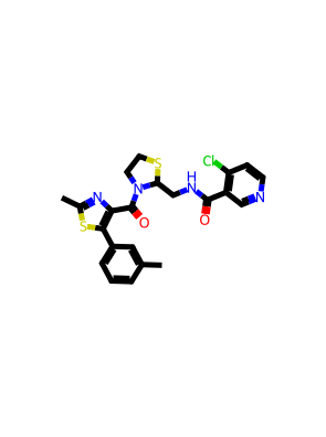 Cc1cccc(-c2sc(C)nc2C(=O)N2CCSC2CNC(=O)c2cnccc2Cl)c1